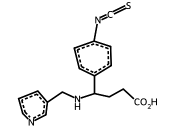 O=C(O)CCC(NCc1cccnc1)c1ccc(N=C=S)cc1